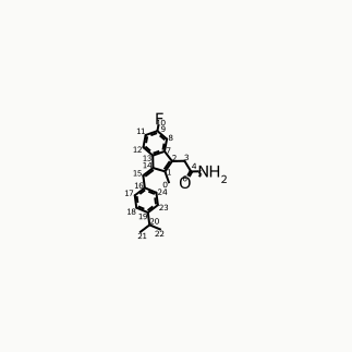 CC1=C(CC(N)=O)c2cc(F)ccc2C1=Cc1ccc(C(C)C)cc1